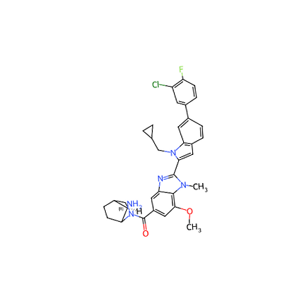 COc1cc(C(=O)N2CC3CCC2[C@@H]3N)cc2nc(-c3cc4ccc(-c5ccc(F)c(Cl)c5)cc4n3CC3CC3)n(C)c12